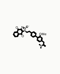 C=C(Cc1ccc(-c2ccc(CCn3c4c(n[n+]3[O-])C(=O)c3ccccc3C4=O)cc2)c(OC)c1)N(C)C